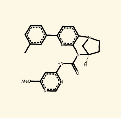 COc1cc(NC(=O)N2c3nc(-c4cccc(C)c4)ccc3N3CC[C@@H]2C3)ncn1